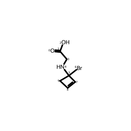 O=C(O)CNC1(Br)C=CC1